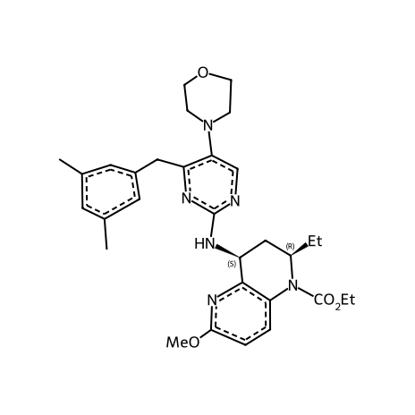 CCOC(=O)N1c2ccc(OC)nc2[C@@H](Nc2ncc(N3CCOCC3)c(Cc3cc(C)cc(C)c3)n2)C[C@H]1CC